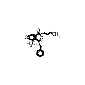 CCCCOC(=O)C1C2CC(C)(C3OC23)C1C(=O)OCc1ccccc1